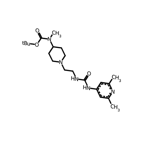 Cc1cc(NC(=O)NCCN2CCC(N(C)C(=O)OC(C)(C)C)CC2)cc(C)n1